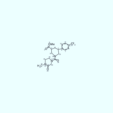 COC(=O)C1CC(c2ccc(C(F)(F)F)cc2)CN(C(=O)N2CCN(C)C(=O)C2)C1